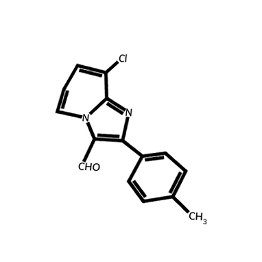 Cc1ccc(-c2nc3c(Cl)cccn3c2C=O)cc1